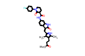 COC(=O)CCc1c(C)[nH]c(C=C2C(=O)Nc3cc(NC(=O)c4cccn(-c5ccc(F)cc5)c4=O)ccc32)c1C